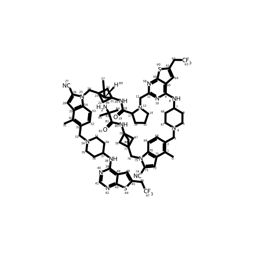 Cc1c(CN2CCC(Nc3nc(CN4CCCC4C(=O)NC45CC(Cn6c(C#N)cc7c(C)c(CN8CCC(Nc9ncnc%10sc(CC(F)(F)F)cc9%10)CC8)ccc76)(C4)[C@@H]5C)nc4sc(CC(F)(F)F)cc34)CC2)ccc2c1cc(C#N)n2CC12CC(NC(=O)C(C)(C)N)(C1)C2